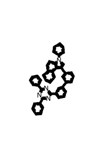 c1ccc(-c2nc(-c3ccccc3)nc(-c3cccc(-c4cccc(-c5cn(-c6ccccc6)c6ccc7ccccc7c56)c4)c3)n2)cc1